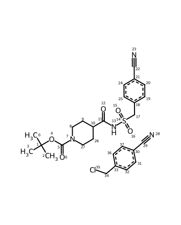 CC(C)(C)OC(=O)N1CCC(C(=O)NS(=O)(=O)Cc2ccc(C#N)cc2)CC1.N#Cc1ccc(CCl)cc1